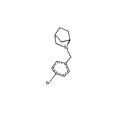 Brc1ccc(CN2CC3CCC2C3)cc1